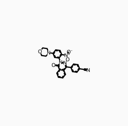 N#Cc1ccc(-c2nn(-c3cc(N4CCOCC4)ccc3[N+](=O)[O-])c(=O)c3ccccc23)cc1